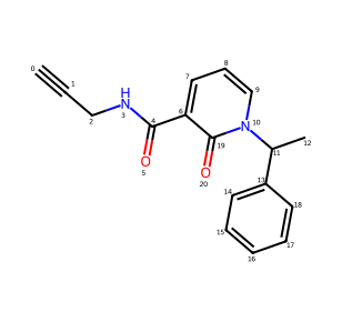 C#CCNC(=O)c1cccn(C(C)c2ccccc2)c1=O